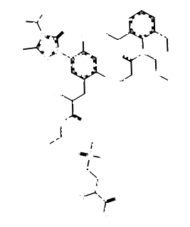 CCOC(=O)C(Cl)Cc1cc(-n2nc(C)n(C(F)F)c2=O)c(F)cc1Cl.CCc1cccc(CC)c1N(COC)C(=O)CCl.CP(=O)(O)CCC(N)C(=O)O